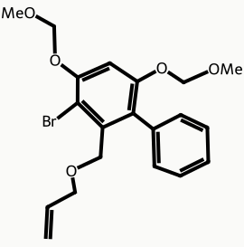 C=CCOCc1c(Br)c(OCOC)cc(OCOC)c1-c1ccccc1